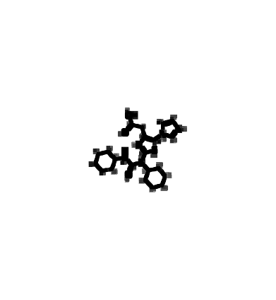 O=C(O)Cc1nc(N(C(=O)NC2CCCCC2)C2CCCCC2)sc1-n1ccnc1